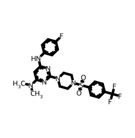 CN(C)c1cc(Nc2ccc(F)cc2)nc(N2CCN(S(=O)(=O)c3ccc(C(F)(F)F)cc3)CC2)n1